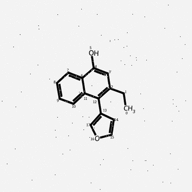 CCc1cc(O)c2ccccc2c1-c1ccoc1